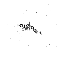 CN1CCN(c2ccc(Nc3ncc4c(n3)NCC4(C=O)C(=O)c3ccc(F)cc3)cc2)CC1